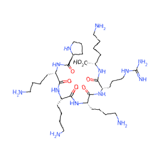 N=C(N)NCCC[C@H](NC(=O)[C@H](CCCCN)NC(=O)[C@H](CCCCN)NC(=O)[C@H](CCCCN)NC(=O)[C@@H]1CCCN1)C(=O)N[C@@H](CCCCN)C(=O)O